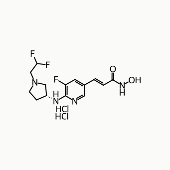 Cl.Cl.O=C(/C=C/c1cnc(N[C@@H]2CCN(CC(F)F)C2)c(F)c1)NO